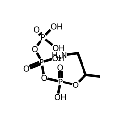 CC(CN)OP(=O)(O)OP(=O)(O)OP(=O)(O)O